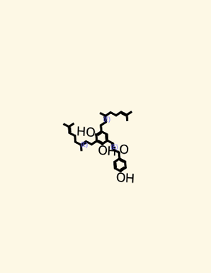 CC(C)=CCC/C(C)=C/Cc1cc(/C=C/C(=O)c2ccc(O)cc2)c(O)c(C/C=C(\C)CCC=C(C)C)c1O